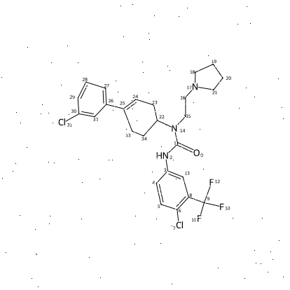 O=C(Nc1ccc(Cl)c(C(F)(F)F)c1)N(CCN1CCCC1)C1CC=C(c2cccc(Cl)c2)CC1